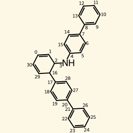 C1=CC(Nc2ccc(-c3ccccc3)cc2)C(c2ccc(-c3ccccc3)cc2)C=C1